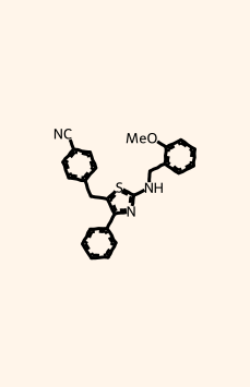 COc1ccccc1CNc1nc(-c2ccccc2)c(Cc2ccc(C#N)cc2)s1